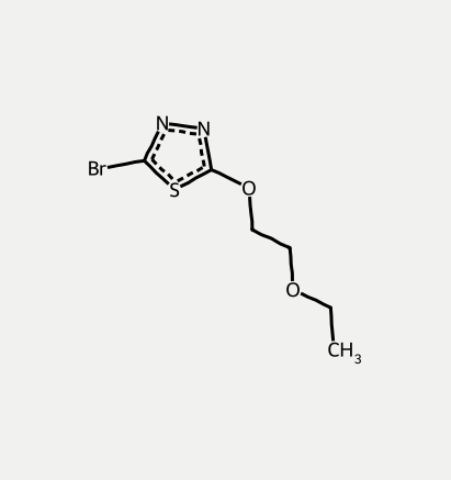 CCOCCOc1nnc(Br)s1